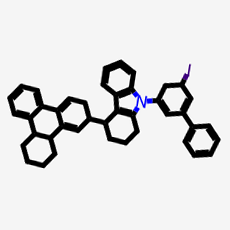 IC1C=C(c2ccccc2)C=C(n2c3c(c4c2CCCC4C2C=C4C(=CC2)c2ccccc2C2CCCCC42)C=C=C=C3)C1